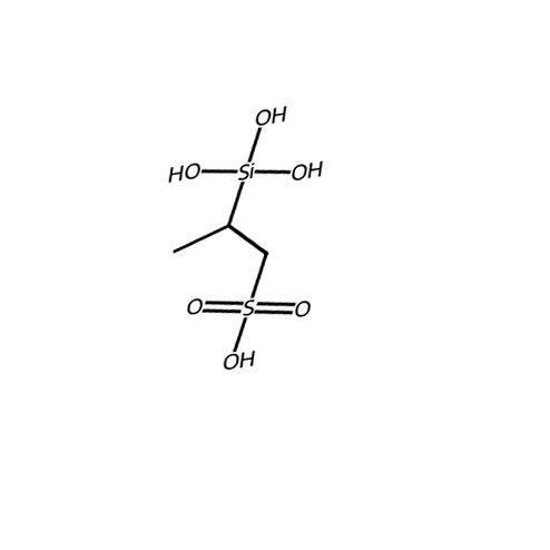 CC(CS(=O)(=O)O)[Si](O)(O)O